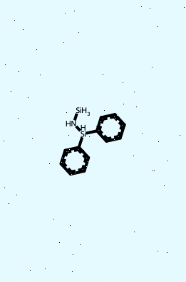 [SiH3]N[SiH](c1ccccc1)c1ccccc1